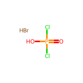 Br.O=P(O)(Cl)Cl